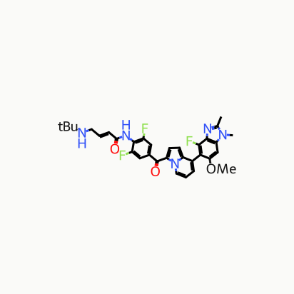 COc1cc2c(nc(C)n2C)c(F)c1-c1cccn2c(C(=O)c3cc(F)c(NC(=O)/C=C/CNC(C)(C)C)c(F)c3)ccc12